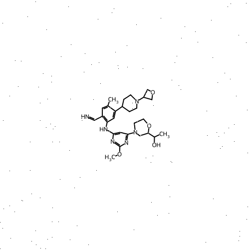 COc1nc(Nc2cc(C3CCN(C4COC4)CC3)c(C)cc2C=N)cc(N2CCOC(C(C)O)C2)n1